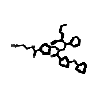 C#C/C(=C\C=C/C)C(CN(Cc1ccc(C(=O)NCCC(=O)O)cc1)C(=O)c1cccc(Oc2ccccc2)c1)C1=CCCC=C1